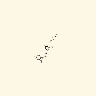 CCc1cc(-c2noc(-c3sc(C)c4c3CCC(C)(C)C4)n2)cc(C)c1OCC(O)CNC(=O)CO